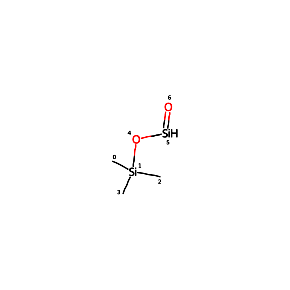 C[Si](C)(C)O[SiH]=O